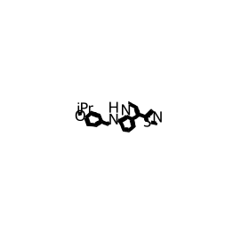 CC(C)Oc1ccc(CNc2cccc3c(-c4cncs4)ccnc23)cc1